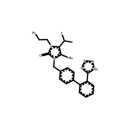 CCCCc1c(C(F)F)n(CCC(C)C)c(=O)n1Cc1ccc(-c2ccccc2-c2nnn[nH]2)cc1